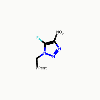 CCCCCCn1nnc([N+](=O)[O-])c1F